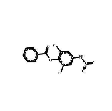 O=C(Oc1c(Cl)cc(N[SH](=O)=O)cc1Cl)c1ccccc1